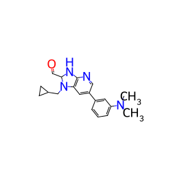 CN(C)c1cccc(-c2cnc3c(c2)N(CC2CC2)C(C=O)N3)c1